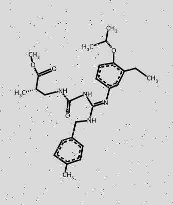 CCc1cc(/N=C(/NCc2ccc(C)cc2)NC(=O)NC[C@H](C)C(=O)OC)ccc1OC(C)C